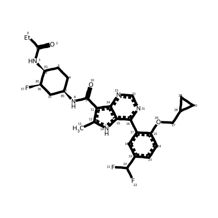 CCC(=O)N[C@H]1CC[C@@H](NC(=O)c2c(C)[nH]c3c(-c4cc(C(F)F)ccc4OCC4CC4)ncnc23)C[C@H]1F